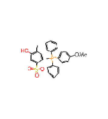 COc1ccc([P+](C)(c2ccccc2)c2ccccc2)cc1.Cc1ccc(S(=O)(=O)[O-])cc1O